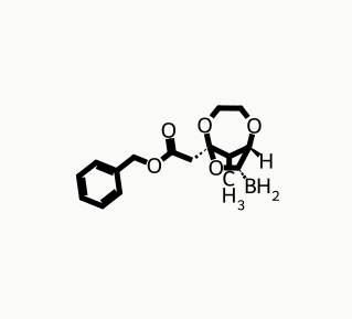 B[C@@H]1O[C@@]2(CC(=O)OCc3ccccc3)OCCO[C@H]1C2C